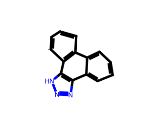 [c]1cccc2c1c1[nH]nnc1c1ccccc21